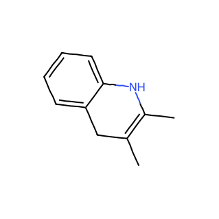 CC1=C(C)Nc2ccccc2C1